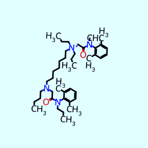 CCCCN(CCCCCCC[N+](CCC)(CCC)CC(=O)N(C)c1c(C)cccc1C)CC(=O)N(CCC)c1c(C)cccc1C